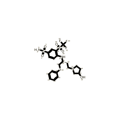 NS(=O)(=O)c1ccc(N[C@H](CCN2CCC(O)C2)CSc2ccccc2)c(S(=O)(=O)C(F)(F)F)c1